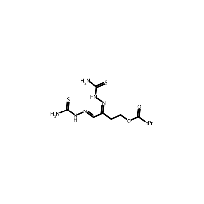 CCCC(=O)OCCC(C=NNC(N)=S)=NNC(N)=S